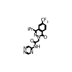 CC(C)c1nn(CC(=O)Nc2cnncn2)c(=O)c2ccc(C(F)(F)F)cc12